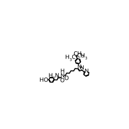 CC(C)(C)c1ccc(-n2nc(-c3ccccn3)cc2CCCCCC(=O)NC(=O)[C@@H](N)Cc2ccc(O)cc2)cc1